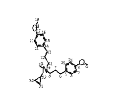 COc1ccc(CCC[N+](C)(CCCc2ccc(OC)cc2)C2CC2)cc1